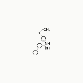 B=C(Nc1ccc([C@@H]2C[C@@H]2CC)cc1)c1cccc(-c2ccccc2)c1